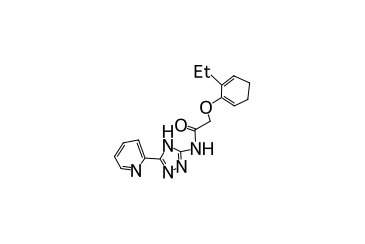 CCC1=CCCC=C1OCC(=O)Nc1nnc(-c2ccccn2)[nH]1